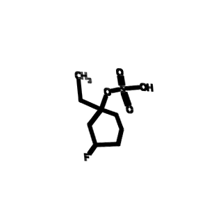 CCC1(OS(=O)(=O)O)CCCC(F)C1